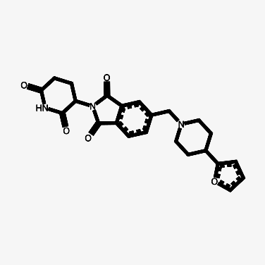 O=C1CCC(N2C(=O)c3ccc(CN4CCC(c5ccco5)CC4)cc3C2=O)C(=O)N1